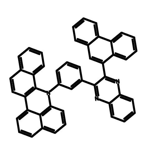 c1cc(-c2nc3ccccc3nc2-c2cc3ccccc3c3ccccc23)cc(N2c3c(ccc4ccccc34)-c3cccc4cccc2c34)c1